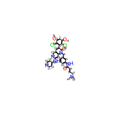 COc1cc(OC)c(Cl)c(-c2cc3cnc(Nc4ccncc4)cc3n(Cc3cccc(NC(=O)/C=C/CN(C)C)c3)c2=O)c1Cl